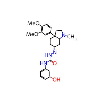 COc1ccc(C23CCC(=NNC(=O)Nc4cccc(O)c4)CC2N(C)CC3)cc1OC